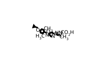 Cc1cc(OCC2CC2)cc(C)c1-c1nc2cnc(OC[C@H](C)NC(=O)O)cc2o1